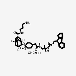 CC(C)(CNC(=O)CC1CCC2(CC1)OO[C@@]1(O2)[C@@H]2C[C@@H]3C[C@H]1C[C@@](C(=O)NCCCN)(C3)C2)NC(=O)OCC1c2ccccc2-c2ccccc21.O=CO